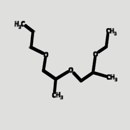 C[CH][CH]OCC(C)OCC(C)OCC